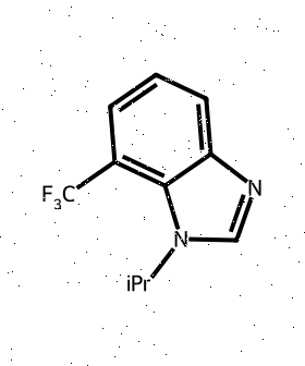 CC(C)n1cnc2cccc(C(F)(F)F)c21